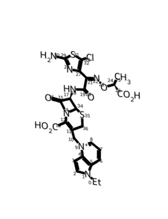 CCn1ccc2c1ccc[n+]2CC1=C(C(=O)O)N2C(=O)[C@@H](NC(=O)/C(=N\O[C@@H](C)C(=O)O)c3nc(N)sc3Cl)C2SC1